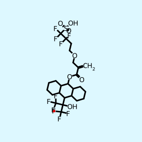 C=C(COCCC(F)(F)C(F)(F)S(=O)(=O)O)C(=O)OC1C2CCCCC2C(C(O)(C(F)(F)F)C(F)(F)F)C2CCCCC21